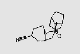 CCN1CC2CCC(C1)N2C(=O)N1CCC(C#N)CC1